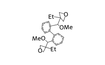 CCC1(C(OC)c2ccccc2-c2ccccc2C(OC)C2(CC)COC2)COC1